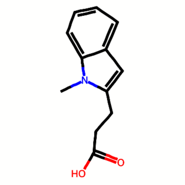 Cn1c(CCC(=O)O)cc2ccccc21